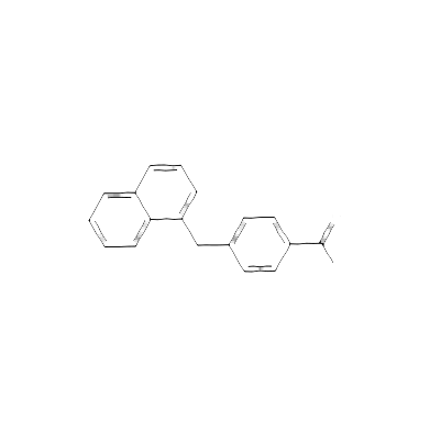 O=C(O)c1ccc(Cc2cccc3ccccc23)cc1